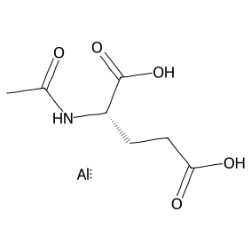 CC(=O)N[C@@H](CCC(=O)O)C(=O)O.[Al]